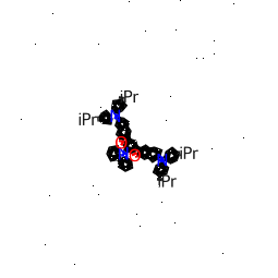 CC(C)c1ccc(N(c2ccc(C(C)C)cc2)c2ccc3cc4c(cc3c2)oc2c(-n3c5ccccc5c5ccccc53)c3oc5cc6cc(N(c7ccc(C(C)C)cc7)c7ccc(C(C)C)cc7)ccc6cc5c3cc24)cc1